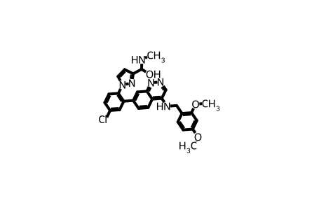 CNC(O)c1ccn(-c2ccc(Cl)cc2-c2ccc3c(NCc4ccc(OC)cc4OC)cnnc3c2)n1